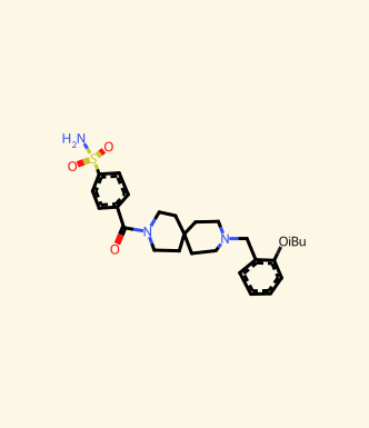 CC(C)COc1ccccc1CN1CCC2(CC1)CCN(C(=O)c1ccc(S(N)(=O)=O)cc1)CC2